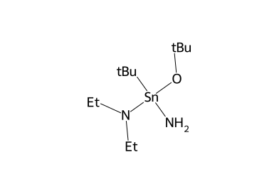 CC[N](CC)[Sn]([NH2])([O]C(C)(C)C)[C](C)(C)C